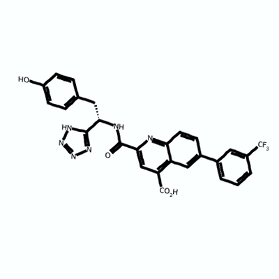 O=C(N[C@@H](Cc1ccc(O)cc1)c1nnn[nH]1)c1cc(C(=O)O)c2cc(-c3cccc(C(F)(F)F)c3)ccc2n1